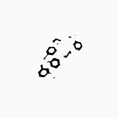 COc1cccc(CN(Cc2ccc(-n3cccn3)cc2)c2cccc(OCCOc3cccc(N(C)C)c3)c2)c1